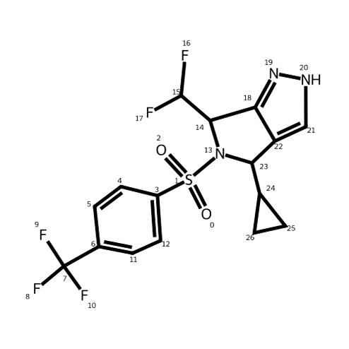 O=S(=O)(c1ccc(C(F)(F)F)cc1)N1C(C(F)F)c2n[nH]cc2C1C1CC1